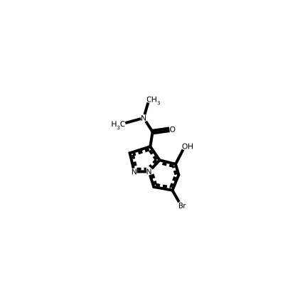 CN(C)C(=O)c1cnn2cc(Br)cc(O)c12